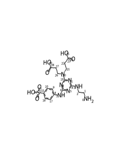 NCCNc1nc(Nc2ccc(S(=O)(=O)O)cc2)nc(N(CCC(=O)O)CCC(=O)O)n1